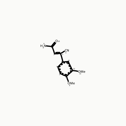 COc1ccc(C(C#N)=CC(N)=O)cc1OC